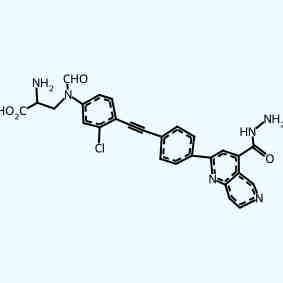 NNC(=O)c1cc(-c2ccc(C#Cc3ccc(N(C=O)CC(N)C(=O)O)cc3Cl)cc2)nc2ccncc12